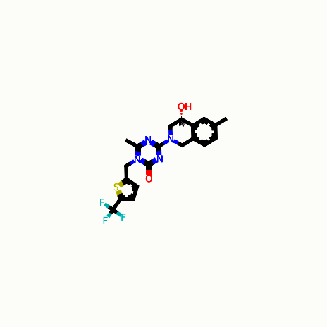 Cc1ccc2c(c1)[C@@H](O)CN(c1nc(C)n(Cc3ccc(C(F)(F)F)s3)c(=O)n1)C2